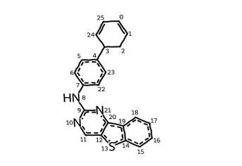 C1=CCC(c2ccc(Nc3ncc4sc5ccccc5c4n3)cc2)C=C1